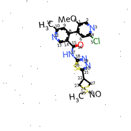 COc1cnc(Cl)cc1-c1cc(C)ncc1C(=O)Nc1nnc(C2CS(C)(N=O)C2)s1